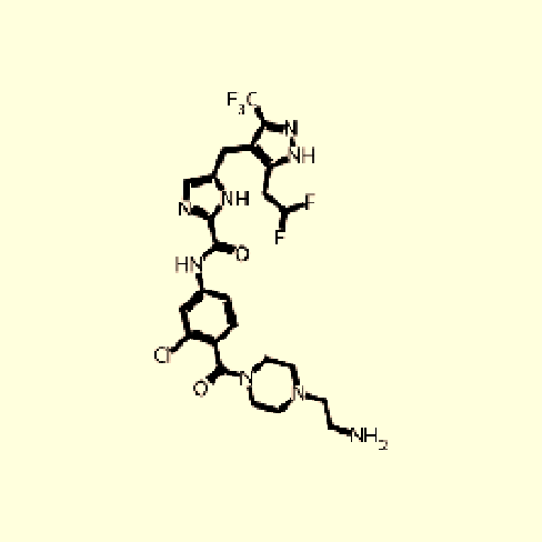 NCCN1CCN(C(=O)c2ccc(NC(=O)c3ncc(Cc4c(C(F)(F)F)n[nH]c4CC(F)F)[nH]3)cc2Cl)CC1